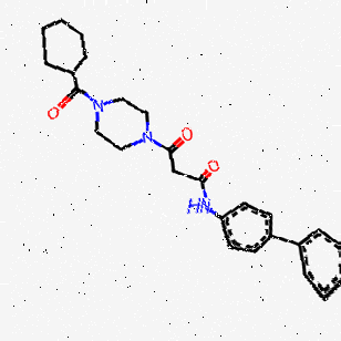 O=C(CC(=O)N1CCN(C(=O)C2CCCCC2)CC1)Nc1ccc(-c2ccccc2)cc1